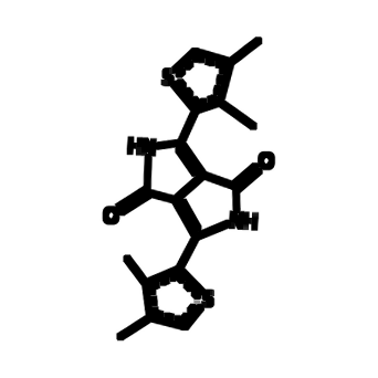 Cc1csc(C2=C3C(=O)NC(c4scc(C)c4C)=C3C(=O)N2)c1C